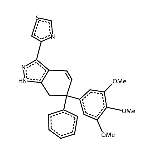 COc1cc(C2(c3ccccc3)C=Cc3c(-c4cscn4)n[nH]c3C2)cc(OC)c1OC